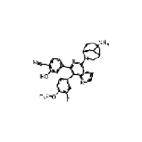 COc1ccc(-c2c(-c3ccc(C#N)c(O)c3)nc(N3CC4CCCC3CC4N)n3ccnc23)cc1F